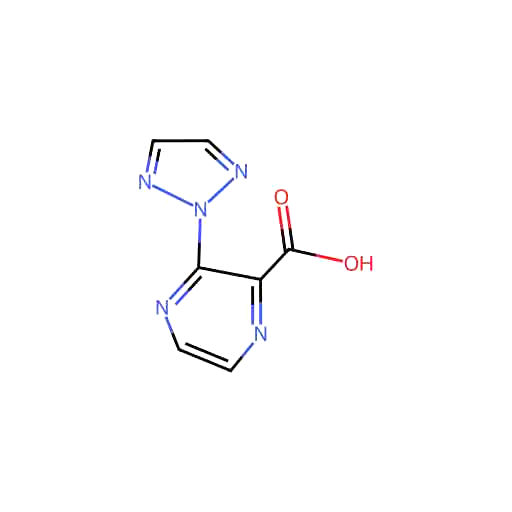 O=C(O)c1nccnc1-n1nccn1